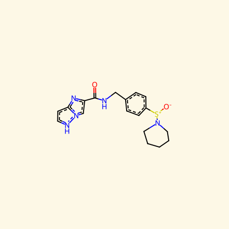 O=C(NCc1ccc([S+]([O-])N2CCCCC2)cc1)c1cn2[nH]ccc2n1